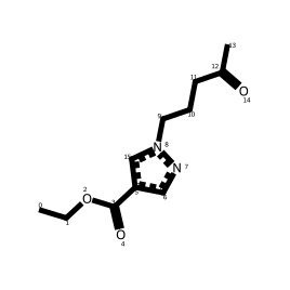 CCOC(=O)c1cnn(CCCC(C)=O)c1